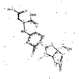 COC(=O)C[C@H](Nc1ccn([C@@H]2O[C@@](CO)(N=[N+]=[N-])C(O)[C@@H]2F)c(=O)n1)C(=O)OC